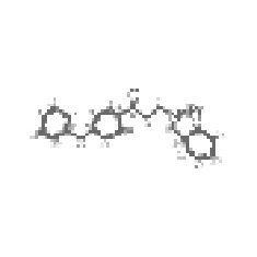 CC(C)N(CCC(=O)c1ccc(Cc2ccccc2)cc1)Cc1ccccc1